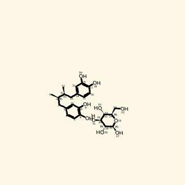 C[C@H](Cc1ccc(O)c(O)c1)[C@@H](C)Cc1ccc(O)c(O)c1.OC[C@H]1O[C@@H](O)[C@H](O)[C@@H](O)[C@@H]1O